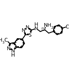 Cc1n[nH]c2ccc(-c3nnc(NC[C@@H](N)Cc4ccc(Cl)cc4)s3)cc12